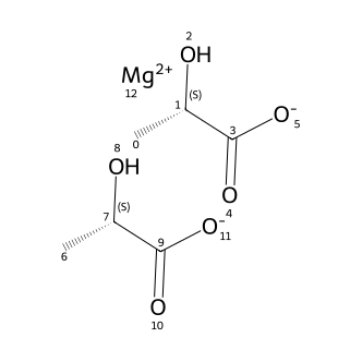 C[C@H](O)C(=O)[O-].C[C@H](O)C(=O)[O-].[Mg+2]